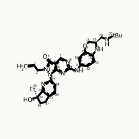 C=CCn1c(=O)c2cnc(Nc3ccc4c(c3)OC[C@@H](CNC(C)(C)C)N4)nc2n1-c1ccc2c(n1)[C@@](O)(CC)CC2